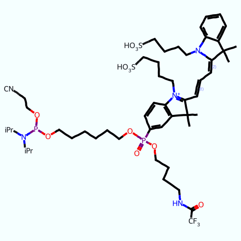 [C-]#[N+]CCOP(OCCCCCCOP(=O)(OCCCCNC(=O)C(F)(F)F)c1ccc2c(c1)C(C)(C)C(/C=C/C=C1\N(CCCCS(=O)(=O)O)c3ccccc3C1(C)C)=[N+]2CCCCS(=O)(=O)O)N(C(C)C)C(C)C